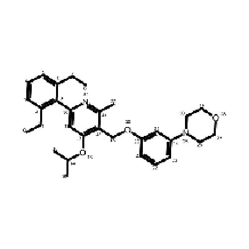 CCc1cccc(CC)c1-c1cc(OC(C)C)c(COc2cccc(N3CCOCC3)c2)c(C)n1